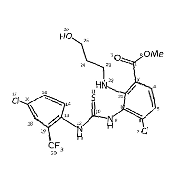 COC(=O)c1ccc(Cl)c(NC(=S)Nc2ccc(Cl)cc2C(F)(F)F)c1NCCCO